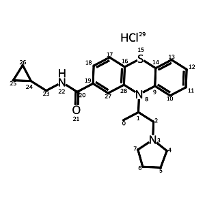 CC(CN1CCCC1)N1c2ccccc2Sc2ccc(C(=O)NCC3CC3)cc21.Cl